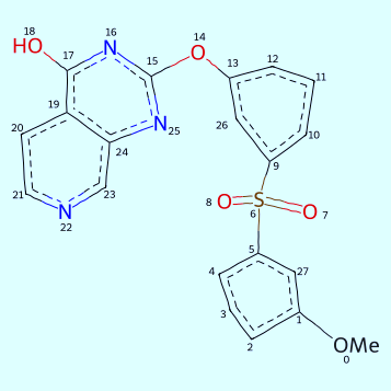 COc1cccc(S(=O)(=O)c2cccc(Oc3nc(O)c4ccncc4n3)c2)c1